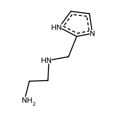 NCCNCc1ncc[nH]1